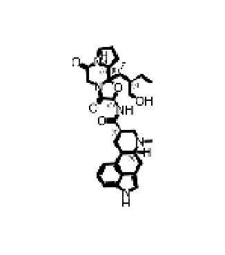 CC[C@@H](CO)[C@@H](C)C12O[C@@H](NC(=O)[C@@H]3CC4c5cccc6[nH]cc(c56)C[C@H]4N(C)C3)C(=O)N1CC(=O)N1CCC[C@H]12